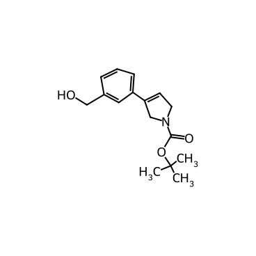 CC(C)(C)OC(=O)N1CC=C(c2cccc(CO)c2)C1